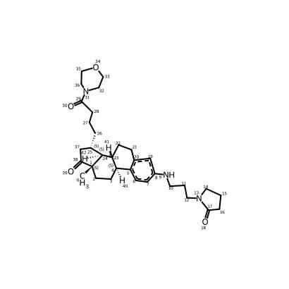 C[C@]12CC[C@@H]3c4ccc(NCCCN5CCCC5=O)cc4CC[C@H]3[C@@H]1[C@@H](CCCC(=O)N1CCOCC1)CC2=O